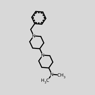 CN(C)C1CCN(C2CCN(Cc3ccccc3)CC2)CC1